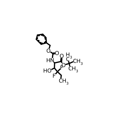 CCC(F)(F)C(O)C(NC(=O)OCc1ccccc1)C(=O)OC(C)(C)C